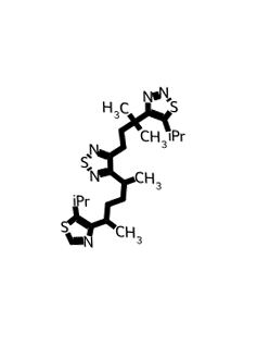 CC(C)c1scnc1C(C)CCC(C)c1nsnc1CCC(C)(C)c1nnsc1C(C)C